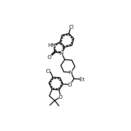 CCC(Oc1cc(Cl)cc2c1OC(C)(C)C2)N1CCC(n2c(=O)[nH]c3cc(Cl)ccc32)CC1